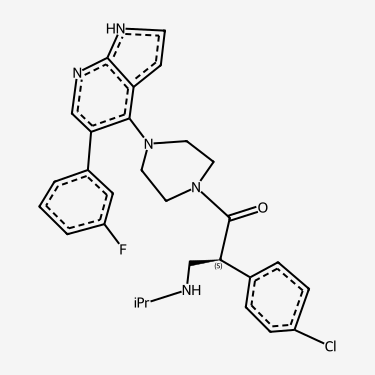 CC(C)NC[C@@H](C(=O)N1CCN(c2c(-c3cccc(F)c3)cnc3[nH]ccc23)CC1)c1ccc(Cl)cc1